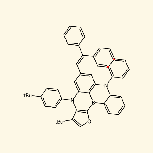 CC(C)(C)c1ccc(N2c3cc(C=C(c4ccccc4)c4ccccc4)cc4c3B(c3ccccc3N4c3ccccc3)c3occ(C(C)(C)C)c32)cc1